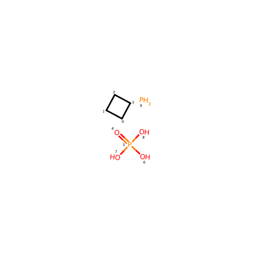 C1CCC1.O=P(O)(O)O.P